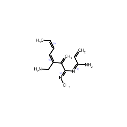 C=C/C(N)=N\C(=N/C)C(=C)/C(=C\C=C/C)CN